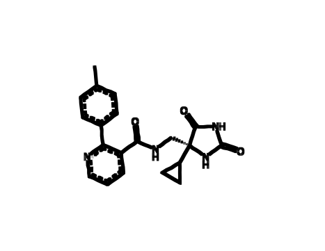 Cc1ccc(-c2ncccc2C(=O)NC[C@@]2(C3CC3)NC(=O)NC2=O)cc1